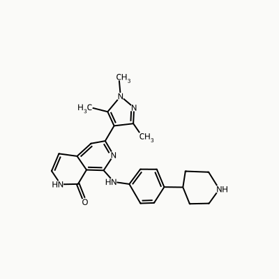 Cc1nn(C)c(C)c1-c1cc2cc[nH]c(=O)c2c(Nc2ccc(C3CCNCC3)cc2)n1